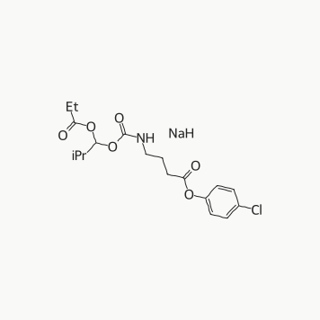 CCC(=O)OC(OC(=O)NCCCC(=O)Oc1ccc(Cl)cc1)C(C)C.[NaH]